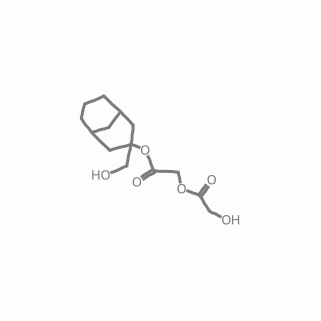 O=C(CO)OCC(=O)OC1(CO)CC2CCCC(C2)C1